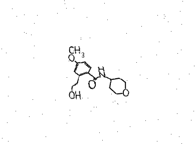 COc1ccc(C(=O)NC2CCOCC2)c(CCO)c1